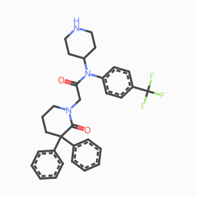 O=C(CN1CCCC(c2ccccc2)(c2ccccc2)C1=O)N(c1ccc(C(F)(F)F)cc1)C1CCNCC1